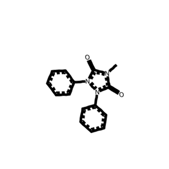 Cn1c(=O)n(-c2ccccc2)n(-c2ccccc2)c1=O